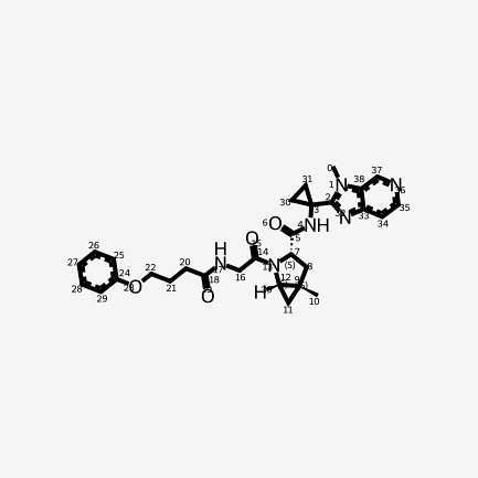 Cn1c(C2(NC(=O)[C@@H]3C[C@]4(C)C[C@@H]4N3C(=O)CNC(=O)CCCOc3ccccc3)CC2)nc2ccncc21